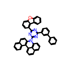 c1ccc(-c2cccc(-c3nc(-c4cccc5oc6ccccc6c45)nc(N4c5ccc6ccccc6c5-c5cccc6cccc4c56)n3)c2)cc1